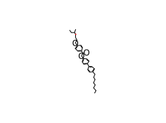 CCCCCCCCc1ccc(-c2ccc(OC(=O)c3ccc(OCCCC(C)CC)cc3)cc2)cc1